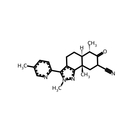 Cc1ccc(-c2c3c(nn2C)[C@@]2(C)CC(C#N)C(=O)[C@@H](C)[C@@H]2CC3)nc1